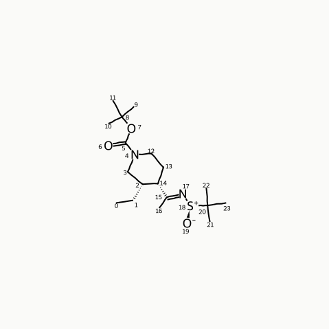 CC[C@@H]1CN(C(=O)OC(C)(C)C)CC[C@@H]1/C(C)=N/[S@+]([O-])C(C)(C)C